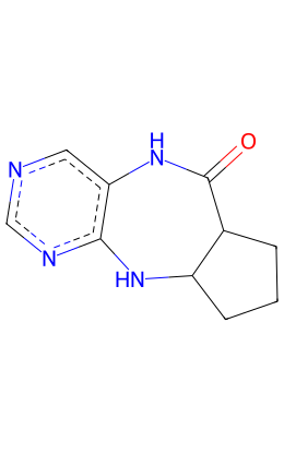 O=C1Nc2cncnc2NC2CCCC12